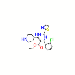 CCOC(=O)C1=C(C2CCNCC2)NC(c2nccs2)=NC1c1ccccc1Cl